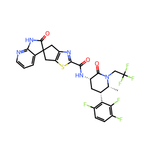 C[C@@H]1[C@H](c2c(F)ccc(F)c2F)C[C@H](NC(=O)c2nc3c(s2)CC2(C3)C(=O)Nc3ncccc32)C(=O)N1CC(F)(F)F